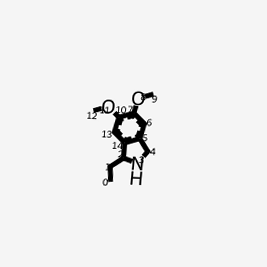 CCC1NCc2cc(OC)c(OC)cc21